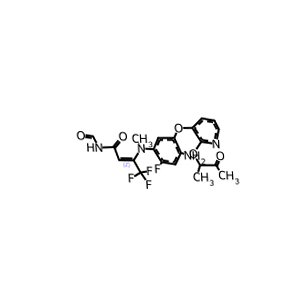 CC(=O)C(C)Oc1ncccc1Oc1cc(N(C)/C(=C\C(=O)NC=O)C(F)(F)F)c(F)cc1N